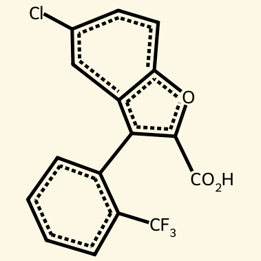 O=C(O)c1oc2ccc(Cl)cc2c1-c1ccccc1C(F)(F)F